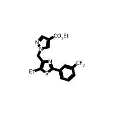 CCOC(=O)c1cnn(Cc2nc(-c3cccc(C(F)(F)F)c3)sc2CC)c1